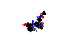 [2H]C([2H])([2H])n1c(=O)n([C@H]2C[C@H](NC(=O)OC3CC3)C2)c2cc(Nc3cc(C(C)(C)O)c4cccc(C(F)(F)F)c4n3)ncc21